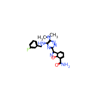 CN(C)c1nnc(C2=NOC3C(C(N)=O)=CC=CC23)nc1NCc1cccc(F)c1